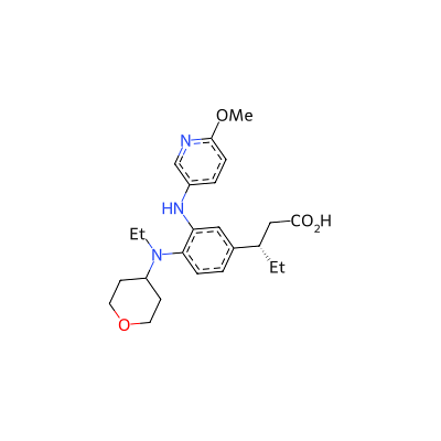 CC[C@@H](CC(=O)O)c1ccc(N(CC)C2CCOCC2)c(Nc2ccc(OC)nc2)c1